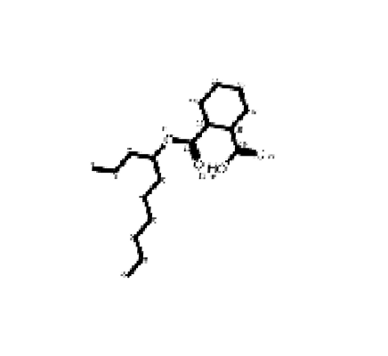 CCCCCCC(CCC)OC(=O)C1CCCCC1C(=O)O